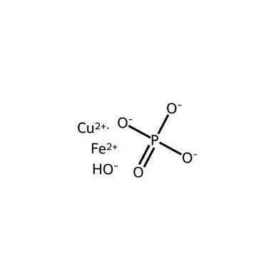 O=P([O-])([O-])[O-].[Cu+2].[Fe+2].[OH-]